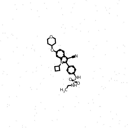 CCNS(=O)(=O)Nc1ccc(-c2c(C#N)c3ccc(OC4CCOCC4)cc3n2C2CCC2)cc1